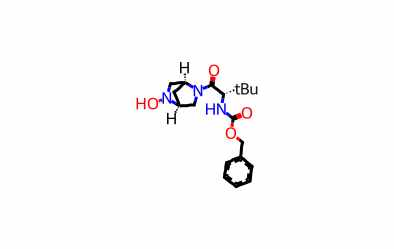 CC(C)(C)[C@H](NC(=O)OCc1ccccc1)C(=O)N1C[C@@H]2C[C@H]1CN2O